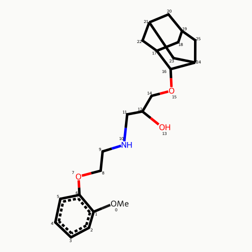 COc1ccccc1OCCNCC(O)COC1C2CC3CC(C2)CC1C3